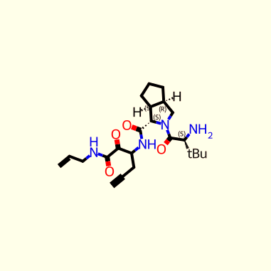 C#CCC(NC(=O)[C@@H]1[C@H]2CCC[C@H]2CN1C(=O)[C@@H](N)C(C)(C)C)C(=O)C(=O)NCC=C